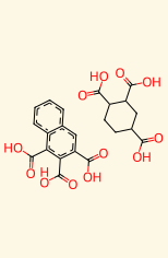 O=C(O)C1CCC(C(=O)O)C(C(=O)O)C1.O=C(O)c1cc2ccccc2c(C(=O)O)c1C(=O)O